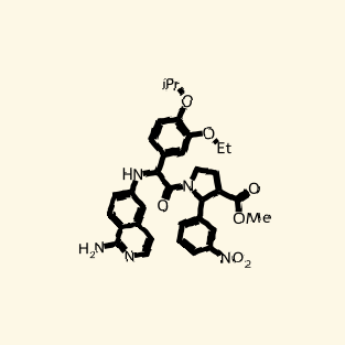 CCOc1cc(C(Nc2ccc3c(N)nccc3c2)C(=O)N2CCC(C(=O)OC)C2c2cccc([N+](=O)[O-])c2)ccc1OC(C)C